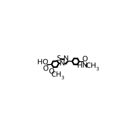 CNC(=O)c1ccc(-c2cn3c(n2)sc2cc(C(=O)O)c(OC)cc23)cc1